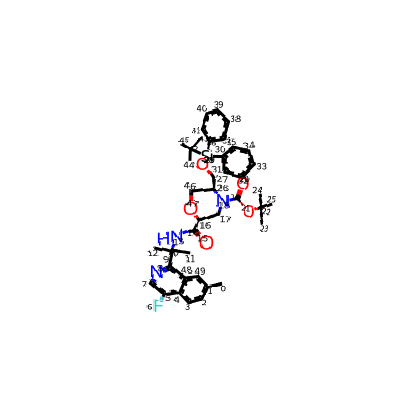 Cc1ccc2c(F)cnc(C(C)(C)NC(=O)[C@@H]3CN(C(=O)OC(C)(C)C)[C@H](CO[Si](c4ccccc4)(c4ccccc4)C(C)(C)C)CO3)c2c1